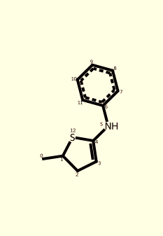 CC1CC=C(Nc2ccccc2)S1